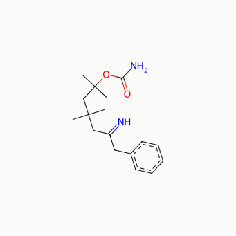 CC(C)(CC(=N)Cc1ccccc1)CC(C)(C)OC(N)=O